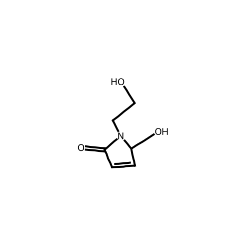 O=C1C=CC(O)N1CCO